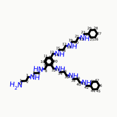 NCCCNCCNCc1ccc(CNCCCNCCCNCC2CCCCC2)cc1CNCCCNCCCNCC1CCCCC1